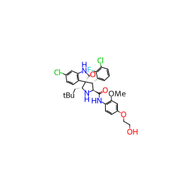 COc1cc(OCCO)ccc1NC(=O)[C@H]1N[C@H](CC(C)(C)C)[C@]2(C(=O)Nc3cc(Cl)ccc32)[C@@H]1c1cccc(Cl)c1F